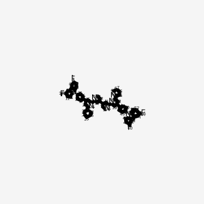 Fc1ccc2c(c1)c1cc(F)ccc1n2-c1ccc(-c2cc(-c3ccccc3)nc(-c3cc(-c4ccnc(-c5cc(-c6ccc(-n7c8ccc(F)cc8c8cc(F)ccc87)cc6)cc(-c6ccccn6)n5)c4)ccn3)c2)cc1